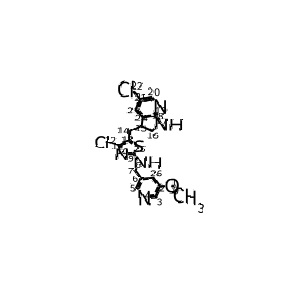 COc1cncc(CNc2nc(Cl)c(CC3CNc4ncc(Cl)cc43)s2)c1